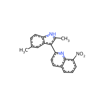 Cc1ccc2[nH]c(C)c(-c3ccc4cccc([N+](=O)[O-])c4n3)c2c1